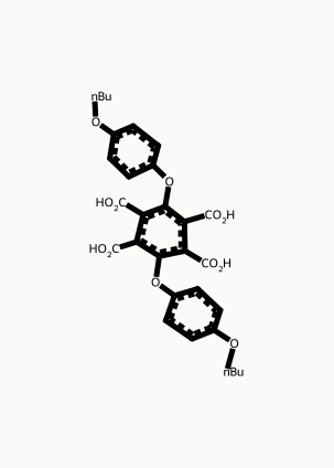 CCCCOc1ccc(Oc2c(C(=O)O)c(C(=O)O)c(Oc3ccc(OCCCC)cc3)c(C(=O)O)c2C(=O)O)cc1